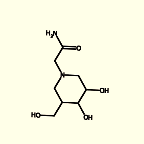 NC(=O)CN1CC(O)C(O)C(CO)C1